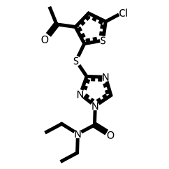 CCN(CC)C(=O)n1cnc(Sc2sc(Cl)cc2C(C)=O)n1